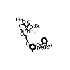 Cc1cc(OCCCO[N+](C)=C(N)N(C(=O)OC(C)(C)C)C(=O)OC(C)(C)C)cc(OS(=O)(=O)c2ccccc2S(C)(=O)=O)c1